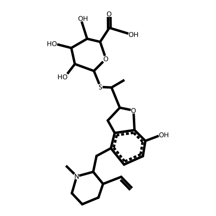 C=CC1CCCN(C)C1Cc1ccc(O)c2c1CC(C(C)SC1OC(C(=O)O)C(O)C(O)C1O)O2